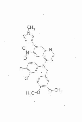 COc1ccc(CN(c2ccc(F)c(Cl)c2)c2ncnc3cc(-c4cnn(C)c4)c([N+](=O)[O-])cc23)cc1OC